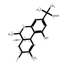 CCCCCCC(C)(C)c1cc(O)c2c(c1)OC(C)[C@@H]1CC(F)C(C)=CC21